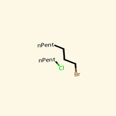 CCCCCCCCBr.CCCCCCl